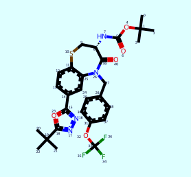 CC(C)(C)OC(=O)N[C@H]1CSc2ccc(-c3nnc(C(C)(C)C)o3)cc2N(Cc2ccc(OC(F)(F)F)cc2)C1=O